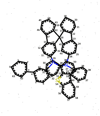 c1ccc(-c2cccc(N(c3ccc4c(c3)C3(c5ccccc5-c5ccc(N(c6ccccc6)c6ccccc6)cc53)c3ccccc3-4)c3cccc4c3sc3ccccc34)c2)cc1